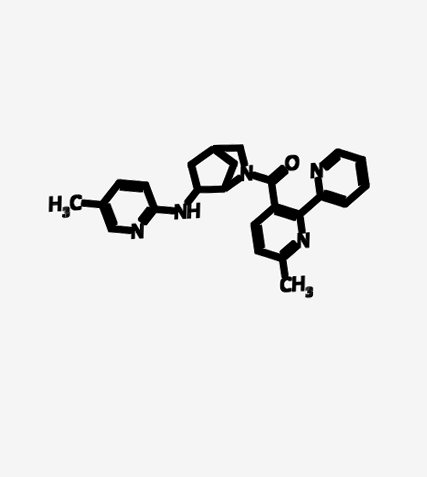 Cc1ccc(NC2CC3CC2N(C(=O)c2ccc(C)nc2-c2ccccn2)C3)nc1